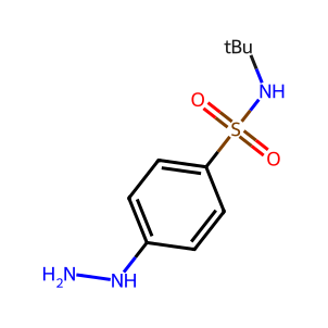 CC(C)(C)NS(=O)(=O)c1ccc(NN)cc1